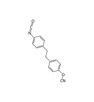 N#COc1ccc(CCc2ccc(N=C=O)cc2)cc1